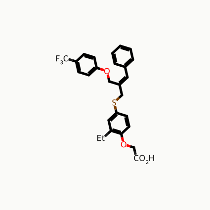 CCc1cc(SCC(=Cc2ccccc2)COc2ccc(C(F)(F)F)cc2)ccc1OCC(=O)O